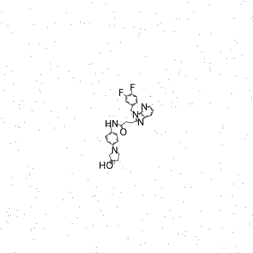 CC(NC(=O)CCc1nc2cccnc2n1Cc1ccc(F)c(F)c1)c1ccc(N2CC[C@@H](O)C2)cc1